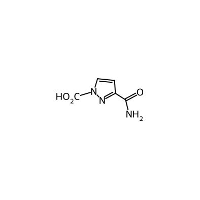 NC(=O)c1ccn(C(=O)O)n1